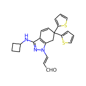 O=CC=Cn1nc(NC2CCC2)c2c1CC(c1cccs1)(c1cccs1)C=C2